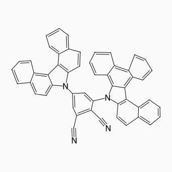 N#Cc1cc(-n2c3ccc4ccccc4c3c3c4ccccc4ccc32)cc(-n2c3ccc4ccccc4c3c3c4ccccc4c4ccccc4c32)c1C#N